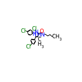 CCCCCNC(=O)c1nn(-c2ccc(Cl)cc2Cl)c(-c2ccc(Cl)cc2)c1C